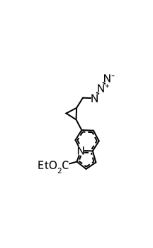 CCOC(=O)c1ccc2ccc(C3CC3CN=[N+]=[N-])cn12